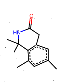 Cc1cc(C)c2c(c1)CC(=O)NC2(C)C